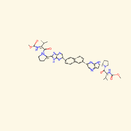 COC(=O)N[C@H](C(=O)N1CCC[C@@H]1c1nc2ncc(-c3ccc4cc(-c5cnc6cc([C@@H]7CCCN7C(=O)[C@@H](NC(=O)OC)C(C)C)[nH]c6n5)ccc4c3)nc2[nH]1)C(C)C